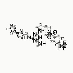 CNc1nc(NCc2csc(-c3cccs3)n2)nc(N2CCC[C@@H]2CNS(=O)(=O)c2ccc(C(F)(F)F)cc2)n1